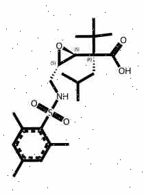 Cc1cc(C)c(S(=O)(=O)NC[C@@H]2O[C@H]2[C@](CC(C)C)(C(=O)O)C(C)(C)C)c(C)c1